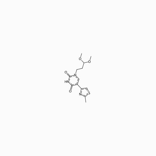 COC(CCn1cc(-c2csc(C)n2)c(=O)[nH]c1=O)OC